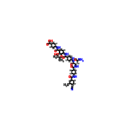 Cc1cc(C(=O)Nc2ccc(C(=O)N[C@@H](CC(N)=O)C(=O)Nc3ccc(C(=O)Nc4ccc(C(=O)Nc5ccc(C(=O)O)cc5)c(O)c4OC(C)C)cc3)cc2)ccc1C#N